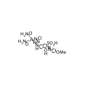 COc1ccc(N=Nc2c(S(=O)(=O)O)cc3cc(Nc4nc(Cl)nc(N(CCC(N)=O)CCC(N)=O)n4)ccc3c2O)cc1